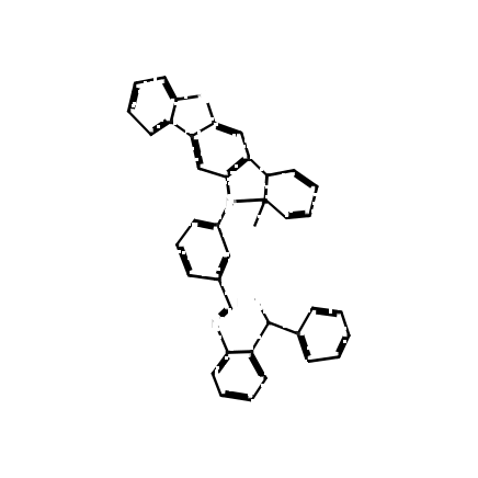 CC12C=CC=CC1c1cc3oc4ccccc4c3cc1N2c1cccc(/C=N/c2ccccc2C(N)c2ccccc2)c1